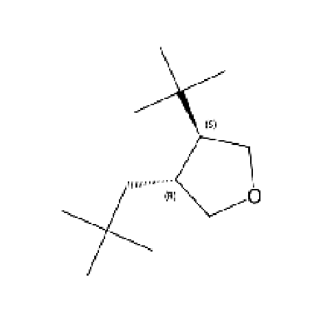 CC(C)(C)C[C@H]1COC[C@@H]1C(C)(C)C